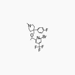 CC(OCC1(c2ccc(F)cc2)CCN(C)CC1)c1cc(C(F)(F)F)cc(Br)n1